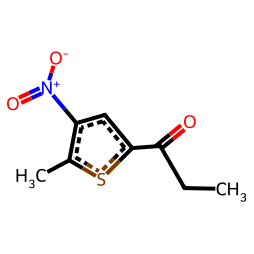 CCC(=O)c1cc([N+](=O)[O-])c(C)s1